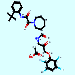 CC(C)(C)c1ccccc1NC(=O)C(=O)N1CCCC[C@H](C(=O)N[C@@H](CC(=O)O)C(=O)COc2c(F)c(F)cc(F)c2F)C1